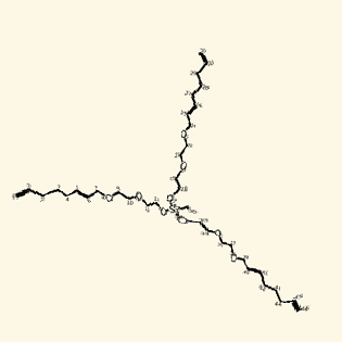 C=CCCCC=CCOCCOCCO[Si](C)(OCCOCCOCC=CCCCC=C)OCCOCCOCC=CCCCC=C